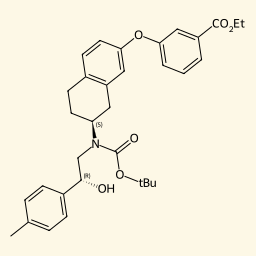 CCOC(=O)c1cccc(Oc2ccc3c(c2)C[C@@H](N(C[C@H](O)c2ccc(C)cc2)C(=O)OC(C)(C)C)CC3)c1